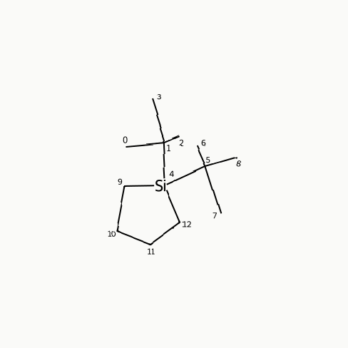 CC(C)(C)[Si]1(C(C)(C)C)CCCC1